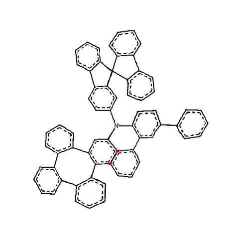 c1ccc(-c2ccc(N(c3ccc4c(c3)-c3ccccc3-c3ccccc3-c3ccccc3-4)c3ccc4c(c3)C3(c5ccccc5-c5ccccc53)c3ccccc3-4)c(-c3ccccc3)c2)cc1